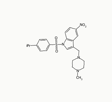 CC(C)c1ccc(S(=O)(=O)n2cc(CN3CCN(C)CC3)c3cc([N+](=O)[O-])ccc32)cc1